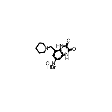 Br.O=c1[nH]c2cc([N+](=O)[O-])cc(CN3CCCCC3)c2[nH]c1=O